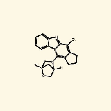 N#Cc1c2c(c(N3C[C@@H]4C[C@H]3CO4)n3c1nc1ccccc13)CCC2